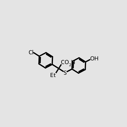 CCC(Sc1ccc(O)cc1)(C(=O)O)c1ccc(Cl)cc1